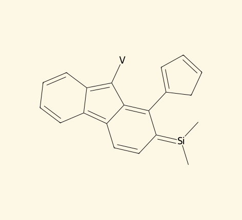 C[Si](C)=c1ccc2c(c1C1=CC=CC1)[C]([V])=c1ccccc1=2